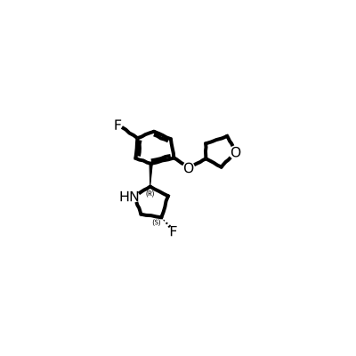 Fc1ccc(OC2CCOC2)c([C@H]2C[C@H](F)CN2)c1